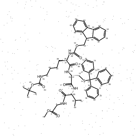 COC(=O)CNC(=O)[C@H](NC(=O)[C@@H](CSC(c1ccccc1)(c1ccccc1)c1ccccc1)NC(=O)[C@@H](CCCCNC(=O)OC(C)(C)C)NC(=O)OCC1c2ccccc2-c2ccccc21)C(C)C